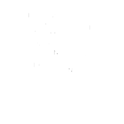 COCC1C(=O)N(Cc2ccccc2)CC(C)N1C(=O)OC(C)(C)C